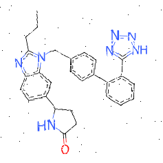 CCCc1nc2ccc(C3CCC(=O)N3)cc2n1Cc1ccc(-c2ccccc2-c2nnn[nH]2)cc1